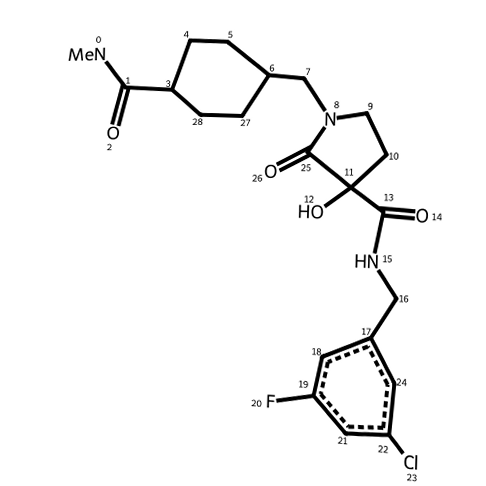 CNC(=O)C1CCC(CN2CCC(O)(C(=O)NCc3cc(F)cc(Cl)c3)C2=O)CC1